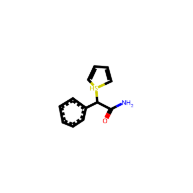 NC(=O)C(c1ccccc1)[SH]1C=CC=C1